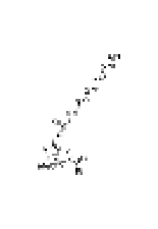 CCC(Br)C1CC2C(COC(=O)CCOCCOCCOCCO)CCC2(OC)O1